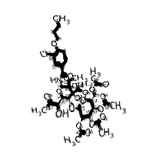 CCCCOc1ccc(C(=O)N[C@@H]2O[C@H](C(O)C(C)=O)[C@@H](O[C@@H]3O[C@H](COC(C)=O)[C@@H](OC(C)=O)[C@H](OC(C)=O)[C@H]3OC(C)=O)[C@@](O)(C(C)=O)[C@]2(O)C(C)=O)cc1Cl